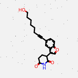 O=C1CCC(c2coc3ccc(C#CCCCCCCO)cc23)C(=O)N1